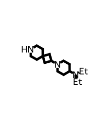 CCN(CC)C1CCN(C2CC3(CCNCC3)C2)CC1